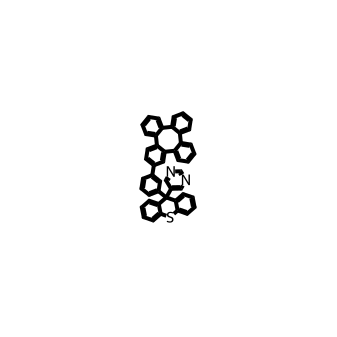 c1cc(-c2ccc3c(c2)-c2ccccc2-c2ccccc2-c2ccccc2-3)cc(C2(c3cncnc3)c3ccccc3Sc3ccccc32)c1